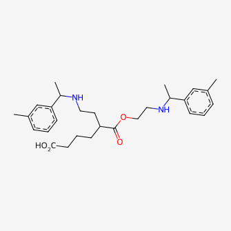 Cc1cccc(C(C)NCCOC(=O)C(CCCC(=O)O)CCNC(C)c2cccc(C)c2)c1